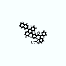 CCc1nc2cccc3c2n1-c1ccc(-c2c4ccccc4c(-c4ccc5ccccc5c4)c4ccccc24)cc1C(=O)C3c1ccccc1